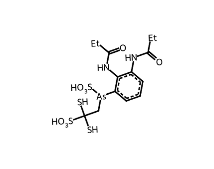 CCC(=O)Nc1cccc([As](CC(S)(S)S(=O)(=O)O)S(=O)(=O)O)c1NC(=O)CC